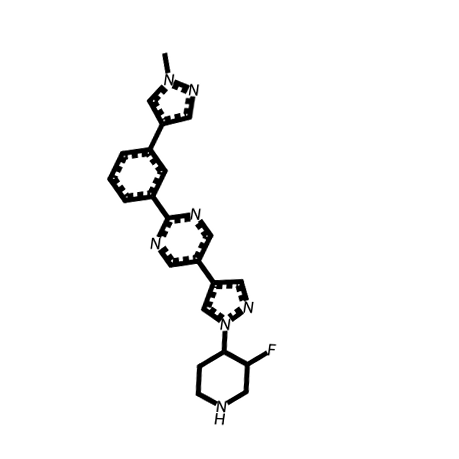 Cn1cc(-c2cccc(-c3ncc(-c4cnn(C5CCNCC5F)c4)cn3)c2)cn1